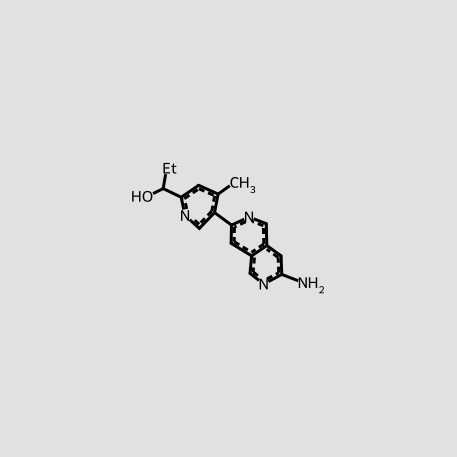 CCC(O)c1cc(C)c(-c2cc3cnc(N)cc3cn2)cn1